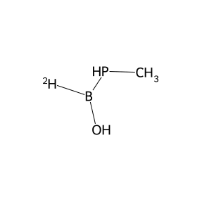 [2H]B(O)PC